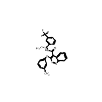 Cc1cccc(Oc2nnc3ccccc3c2C(=O)N[C@@H](C)c2cccc(C(F)(F)F)c2)c1